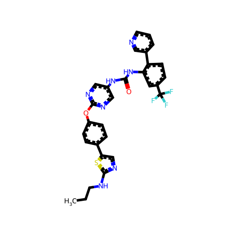 CCCNc1ncc(-c2ccc(Oc3ncc(NC(=O)Nc4cc(C(F)(F)F)ccc4-c4cccnc4)cn3)cc2)s1